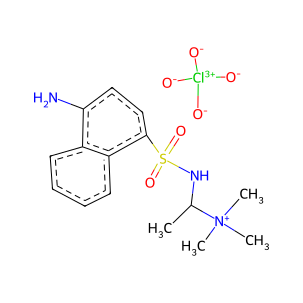 CC(NS(=O)(=O)c1ccc(N)c2ccccc12)[N+](C)(C)C.[O-][Cl+3]([O-])([O-])[O-]